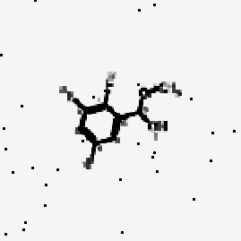 COC(O)c1cc(F)cc(F)c1F